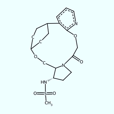 CS(=O)(=O)N[C@H]1CCN2C(=O)COc3ncccc3C3CCC(CC3)OCC12